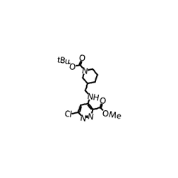 COC(=O)c1nnc(Cl)cc1NCC1CCCN(C(=O)OC(C)(C)C)C1